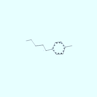 O[C@H](CCCCl)c1ccc(F)cc1